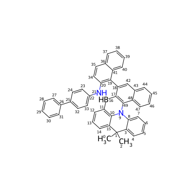 CC1(C)c2ccccc2N2c3c(cccc31)Bc1c(-c3c(Nc4ccc(-c5ccccc5)cc4)ccc4ccccc34)cc3ccccc3c12